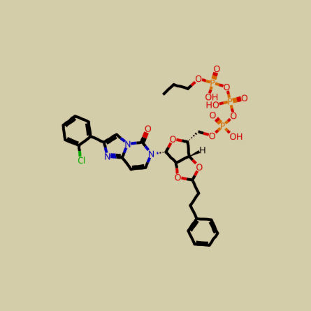 CCCOP(=O)(O)OP(=O)(O)OP(=O)(O)OC[C@H]1O[C@@H](n2ccc3nc(-c4ccccc4Cl)cn3c2=O)C2OC(CCc3ccccc3)O[C@H]21